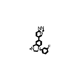 CN1CCN(c2cccc(F)c2)c2ccc(-c3ccc4nncn4c3)cc2C1